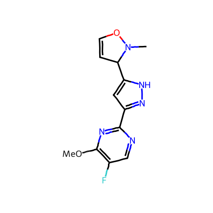 COc1nc(-c2cc(C3C=CON3C)[nH]n2)ncc1F